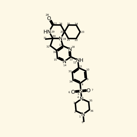 CN1CCN(S(=O)(=O)c2ccc(Nc3ncc4c(n3)N3C5(CCCCC5)CC(=O)NC3(C)C4)cc2)CC1